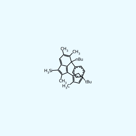 CCCCC1(c2ccc(C(C)(C)C)cc2)C(C)=C(C)C=C2C([SiH3])=C(C)C(C3=C(C)C=CC3)=C21